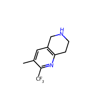 Cc1cc2c(nc1C(F)(F)F)CCNC2